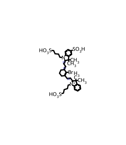 CC1(C)C(/C=C/C2=C(Br)C(=C/C=C3/N(CCCCS(=O)(=O)O)c4ccc(S(=O)(=O)O)cc4C3(C)C)/CCC2)=[N+](CCCCS(=O)(=O)O)c2ccccc21